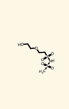 CS(=O)(=O)NS(=O)(=O)CCOCCO